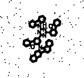 c1ccc2cc3c(cc2c1)c1ccc2ccccc2c1n3-c1cc(C2=NC(n3c4ccccc4c4ccccc43)NC(c3cccc4c3oc3ccccc34)=N2)cc2c1oc1ccccc12